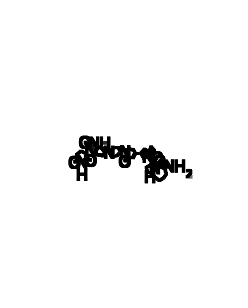 N[C@H]1CCCC[C@H]2CC[C@@H](C(=O)N3C[C@@H](c4ccn(C5CCN(c6ccc7c(c6)[nH]c(=O)n7C6CCC(=O)NC6=O)CC5)c(=O)c4)CC34CC4)N2C1=O